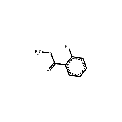 CCc1ccccc1C(=O)SC(F)(F)F